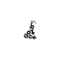 CCCc1ccc(CC(Nc2ccc(-c3nccnc3N3CCN(C4COC4)CC3)cc2)=C2CCC2)cc1